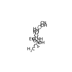 C=C/C=C\C(C1CC1)=[N+](\O)C(=O)NC1=C/C(=C/NC2CCC(O)(CC#N)CC2)C(=N)C=C1OCC